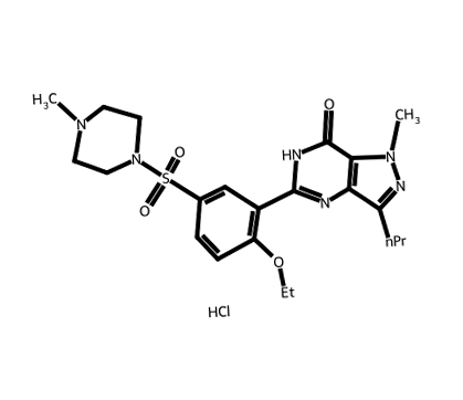 CCCc1nn(C)c2c(=O)[nH]c(-c3cc(S(=O)(=O)N4CCN(C)CC4)ccc3OCC)nc12.Cl